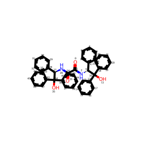 O=C(N[C@H](c1ccccc1)C(O)(c1ccccc1)c1ccccc1)C(=O)N[C@H](c1ccccc1)C(O)(c1ccccc1)c1ccccc1